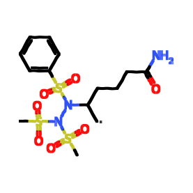 [CH2]C(CCCC(N)=O)N(N(S(C)(=O)=O)S(C)(=O)=O)S(=O)(=O)c1ccccc1